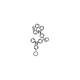 c1ccc(N(c2ccc(C3CCCCC3)cc2)c2ccc(C3(c4ccc(N(c5ccccc5)c5cccc6sc7ccccc7c56)cc4)CC4CCC3C4)cc2)cc1